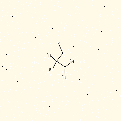 [2H][C]([2H])C([2H])(C[CH2])CF